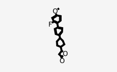 COc1ccc(-c2ccc(C3CCC(C4CC(=O)O4)CC3)cc2)c(F)c1